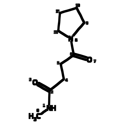 CNC(=O)CCC(=O)N1CCCC1